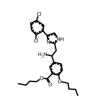 CCCCOC(=O)c1cc(C(N)Cc2nc(-c3cc(Cl)ccc3Cl)c[nH]2)ccc1OCCCC